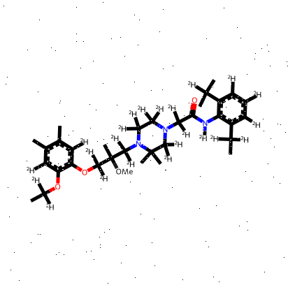 [2H]c1c([2H])c(C([2H])([2H])C)c(N([2H])C(=O)C([2H])([2H])N2C([2H])([2H])C([2H])([2H])N(C([2H])([2H])C(C)(OC)C([2H])([2H])Oc3c([2H])c(C)c(C)c([2H])c3OC([2H])([2H])C)C(C)(C)C2([2H])[2H])c(C([2H])(C)C)c1[2H]